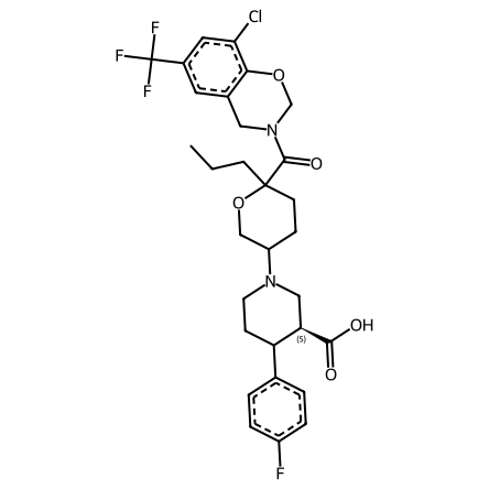 CCCC1(C(=O)N2COc3c(Cl)cc(C(F)(F)F)cc3C2)CCC(N2CCC(c3ccc(F)cc3)[C@H](C(=O)O)C2)CO1